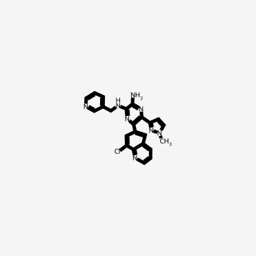 Cn1ccc(-c2nc(N)c(NCc3cccnc3)nc2-c2cc(Cl)c3ncccc3c2)n1